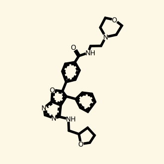 O=C(NCCN1CCOCC1)c1ccc(-c2oc3ncnc(NCC4CCCO4)c3c2-c2ccccc2)cc1